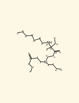 C=C(CCC)CCN(CCCC)CCC(=C)C(C)(CC)NCCCCCCC